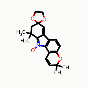 CC1(C)C=Cc2c(ccc3c2[N+]([O-])=C2C3=CC3(CC2(C)C)OCCO3)O1